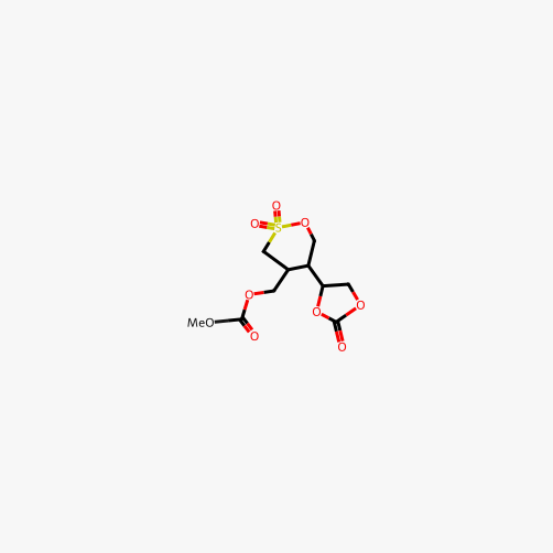 COC(=O)OCC1CS(=O)(=O)OCC1C1COC(=O)O1